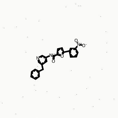 O=C(Nc1cncc(Cc2ccccc2)c1)c1ccc(-c2cccc([N+](=O)[O-])c2)o1